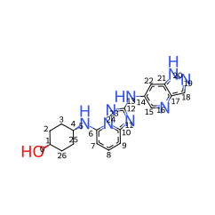 O[C@H]1CC[C@@H](Nc2cccc3nc(Nc4cnc5cn[nH]c5c4)nn23)CC1